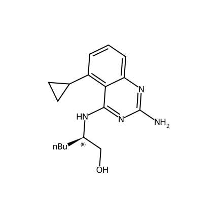 CCCC[C@H](CO)Nc1nc(N)nc2cccc(C3CC3)c12